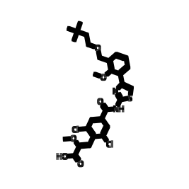 COC(=Cc1c(Cl)cc(C(=O)Nc2nc(-c3cccc(COCCC(C)(C)C)c3OC)cs2)cc1Cl)C(=O)O